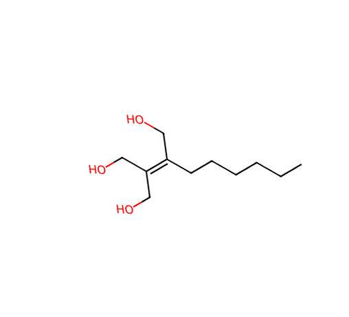 CCCCCCC(CO)=C(CO)CO